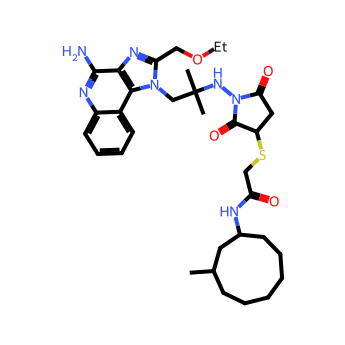 CCOCc1nc2c(N)nc3ccccc3c2n1CC(C)(C)NN1C(=O)CC(SCC(=O)NC2CCCCCCC(C)C2)C1=O